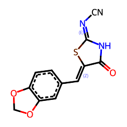 N#C/N=C1\NC(=O)/C(=C/c2ccc3c(c2)OCO3)S1